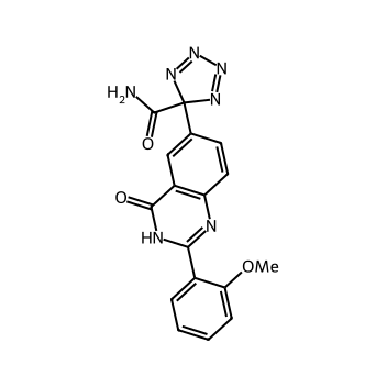 COc1ccccc1-c1nc2ccc(C3(C(N)=O)N=NN=N3)cc2c(=O)[nH]1